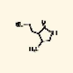 CC1CNC(=O)C1CCC(C)(C)C